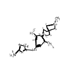 Cc1cc(Nc2nc(N)n[nH]2)cc(C)c1N1CC2(CN(C)C2)C1